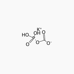 O=C([O-])OP(=O)(O)O.[K+]